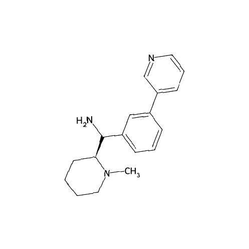 CN1CCCC[C@H]1C(N)c1cccc(-c2cccnc2)c1